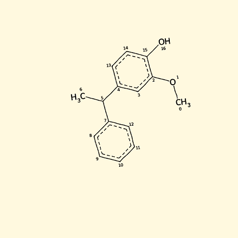 COc1cc(C(C)c2ccccc2)ccc1O